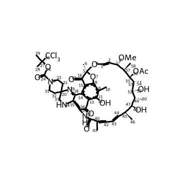 CO[C@H]1/C=C/O[C@@]2(C)Oc3c(C)c(O)c4c(c3C2=O)C2=NC3(CCN(C(=O)OC(C)(C)C(Cl)(Cl)Cl)CC3)CNC2=C(NC(=O)/C(C)=C\C=C\[C@H](C)[C@H](O)[C@@H](C)[C@@H](O)[C@@H](C)[C@H](OC(C)=O)[C@@H]1C)C4=O